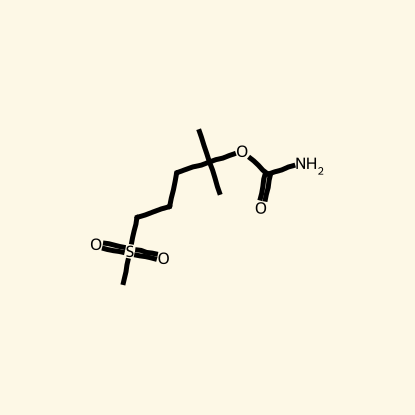 CC(C)(CCCS(C)(=O)=O)OC(N)=O